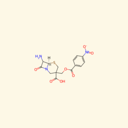 NC1C(=O)N2CC(COC(=O)c3ccc([N+](=O)[O-])cc3)(C(=O)O)CS[C@H]12